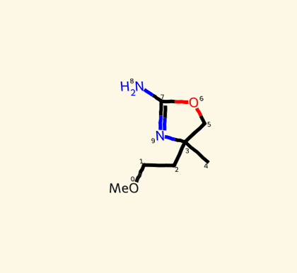 COCCC1(C)COC(N)=N1